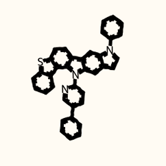 c1ccc(-c2ccc(-n3c4cc5ccn(-c6ccccc6)c5cc4c4ccc5sc6ccccc6c5c43)nc2)cc1